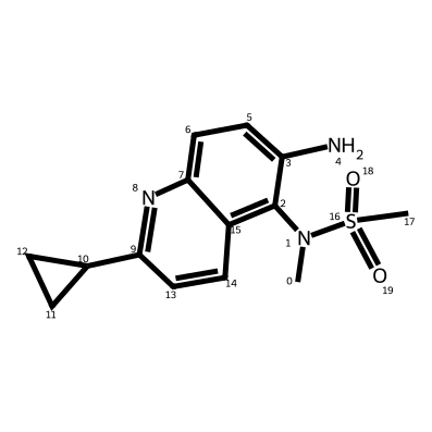 CN(c1c(N)ccc2nc(C3CC3)ccc12)S(C)(=O)=O